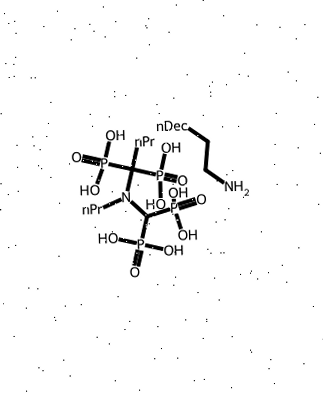 CCCCCCCCCCCCN.CCCN(C(P(=O)(O)O)P(=O)(O)O)C(CCC)(P(=O)(O)O)P(=O)(O)O